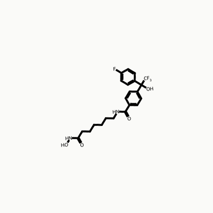 O=C(CCCCCCNC(=O)c1ccc(C(O)(c2ccc(F)cc2)C(F)(F)F)cc1)NO